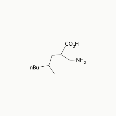 CCCCC(C)CC(CN)C(=O)O